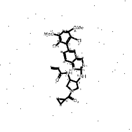 C=CC(=O)NC1CN(C(=O)C2CC2)CC1Nc1ncc2cc(-c3c(Cl)c(OC)cc(OC)c3Cl)ccc2n1